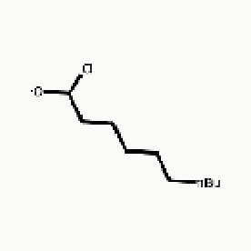 CCCCCCCCCC([O])Cl